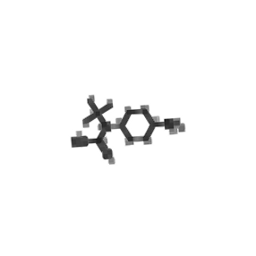 CC(C)(C)N(C(=O)O)C1CCC(N)CC1